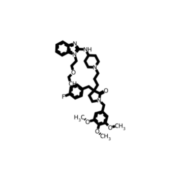 CCOCCn1c(NC2CCN(CCCC3(Cc4ccc(F)cc4)CCN(Cc4cc(OC)c(OC)c(OC)c4)C3=O)CC2)nc2ccccc21